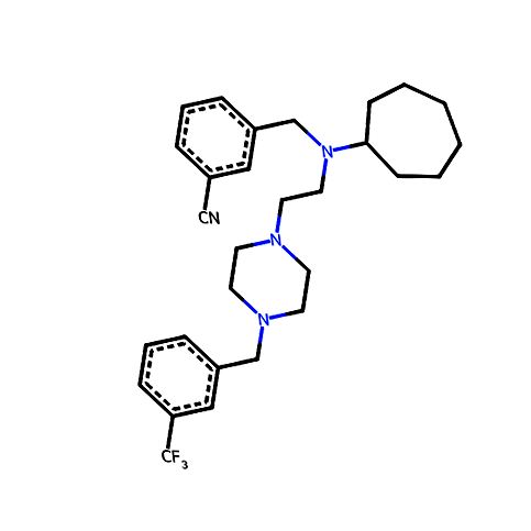 N#Cc1cccc(CN(CCN2CCN(Cc3cccc(C(F)(F)F)c3)CC2)C2CCCCCC2)c1